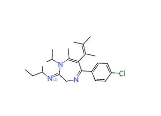 CCC(C)/N=C1/CN=C(c2ccc(Cl)cc2)C(C(C)=C(C)C)=C(C)N1C(C)C